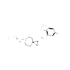 COc1ccc(Cl)cc1SC[C@@H]1CC12CCN(S(N)(=O)=O)CC2